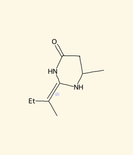 CC/C(C)=C1\NC(=O)CC(C)N1